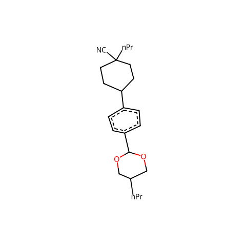 CCCC1COC(c2ccc(C3CCC(C#N)(CCC)CC3)cc2)OC1